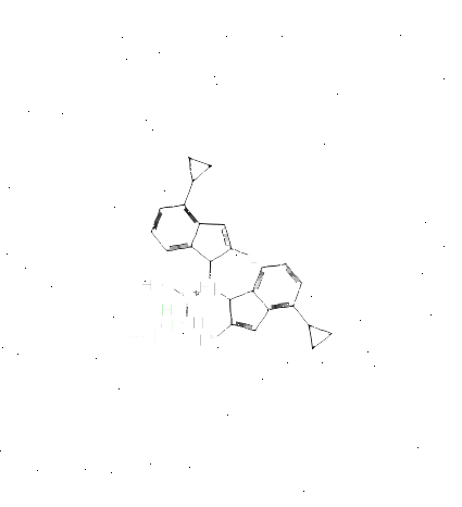 CCC1=Cc2c(C3CC3)cccc2[CH]1[Hf]([CH]1C(CC)=Cc2c(C3CC3)cccc21)=[Si](C)C.Cl.Cl